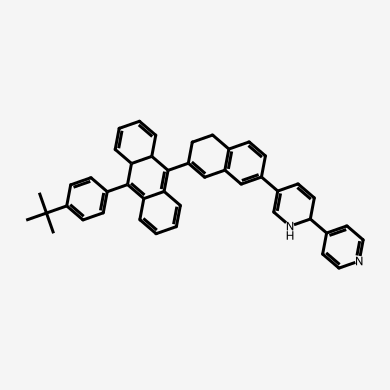 CC(C)(C)c1ccc(C2=c3ccccc3=C(C3=Cc4cc(C5=CNC(c6ccncc6)C=C5)ccc4CC3)C3C=CC=CC23)cc1